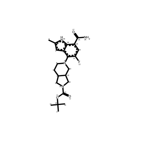 Cc1cc2c(N3CCC4CN(C(=O)OC(C)(C)C)CC4C3)c(F)cc(C(N)=O)c2[nH]1